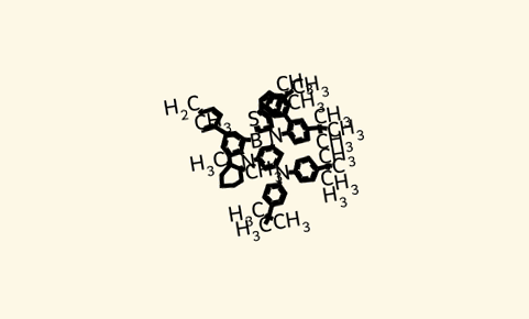 C=C/C=C\C(=C/C)c1cc2c3c(c1)C1(C)CCCCC1(C)N3c1cc(N(c3ccc(C(C)(C)C)cc3)c3ccc(C(C)(C)C)cc3)cc3c1B2c1sc2ccc(C(C)(C)C)cc2c1N3c1ccc(C(C)(C)C)cc1-c1ccccc1